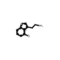 NCCc1csc2cccc(Cl)c12